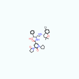 CCc1ccc2c(c1)[C@@H](NCC[C@@H](NC(=O)c1cc(N3CCCC3=O)c(=O)n(C3CCCC3)c1)[C@@H](O)c1ccccc1)CC(C)(C)O2